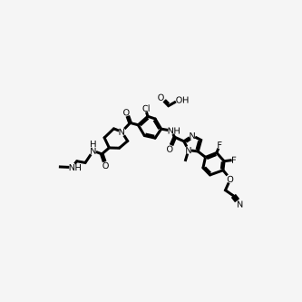 CNCCNC(=O)C1CCN(C(=O)c2ccc(NC(=O)c3ncc(-c4ccc(OCC#N)c(F)c4F)n3C)cc2Cl)CC1.O=CO